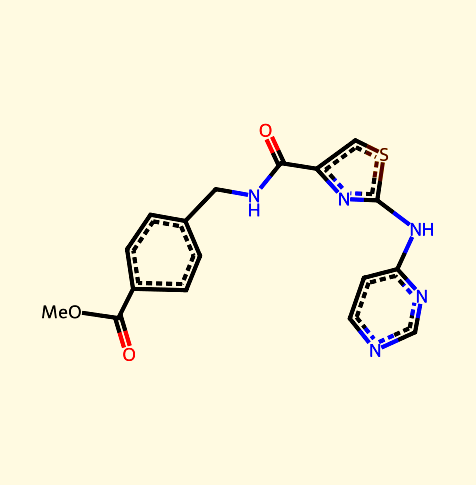 COC(=O)c1ccc(CNC(=O)c2csc(Nc3ccncn3)n2)cc1